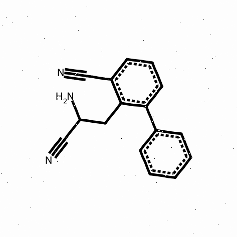 N#Cc1cccc(-c2ccccc2)c1CC(N)C#N